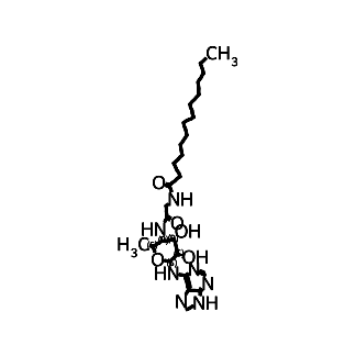 CCCCCCCCCCCCCC(=O)NCC(=O)N[C@@H]1[C@@H](O)[C@H](O)[C@@H](Nc2ncnc3[nH]cnc23)O[C@H]1C